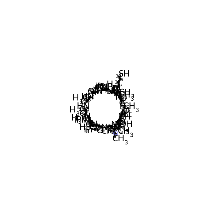 C/C=C/C[C@@H](C)[C@@H](O)[C@H]1C(=O)N[C@@H](CC)C(=O)N(C)CC(=O)N(C)[C@@H]([C@@H](C)OCCCCS)C(=O)N[C@@H](C(C)C)C(=O)N(C)[C@@H](CC(C)C)C(=O)N[C@@H](C)C(=O)N[C@H](C)C(=O)N(C)[C@@H](CC(C)C)C(=O)N(C)[C@H](CC(C)C)C(=O)N(C)[C@H](C(C)C)C(=O)N1C